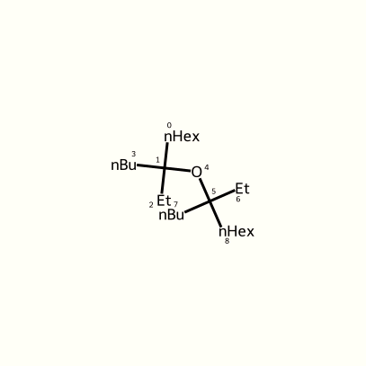 CCCCCCC(CC)(CCCC)OC(CC)(CCCC)CCCCCC